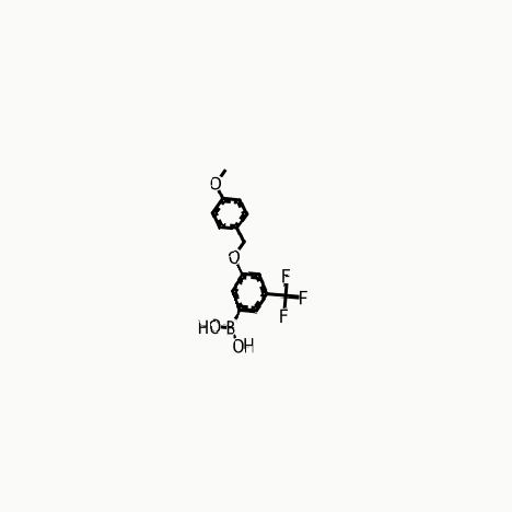 COc1ccc(COc2cc(B(O)O)cc(C(F)(F)F)c2)cc1